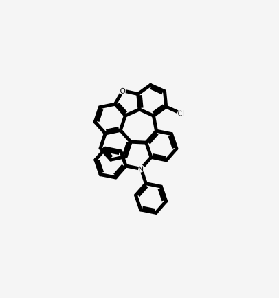 Clc1ccc2oc3ccc4cccc5c4c3c2c1-c1cccc(N(c2ccccc2)c2ccccc2)c1-5